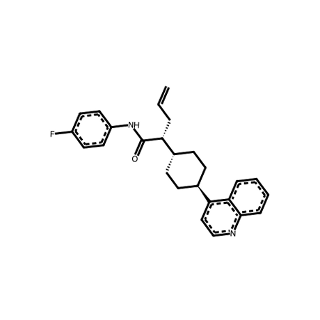 C=CC[C@@H](C(=O)Nc1ccc(F)cc1)[C@H]1CC[C@H](c2ccnc3ccccc32)CC1